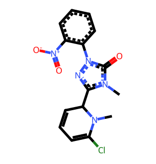 CN1C(Cl)=CC=CC1c1nn(-c2ccccc2[N+](=O)[O-])c(=O)n1C